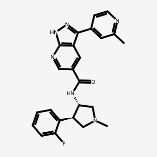 Cc1cc(-c2n[nH]c3ncc(C(=O)N[C@@H]4CN(C)C[C@H]4c4ccccc4F)cc23)ccn1